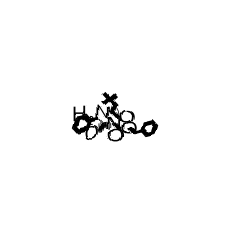 CC(C)(C)C[C@H](N)C(=O)N(C(=O)OCc1ccccc1)[C@H](C=O)Cc1ccccc1